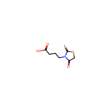 O=C(O)CCCN1C(=O)CSC1=S